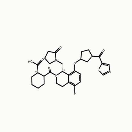 O=C(O)[C@@H]1CCCCC1C(=O)N1CCc2c(Br)ccc(OC3CCN(C(=O)c4cncs4)C3)c2[C@H]1CN1CCCC1=O